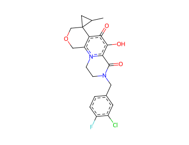 CC1CC12COCc1c2c(=O)c(O)c2n1CCN(Cc1ccc(F)c(Cl)c1)C2=O